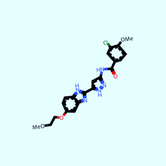 COCCOc1ccc2[nH]c(-c3cc(NC(=O)c4ccc(OC)c(Cl)c4)n[nH]3)nc2c1